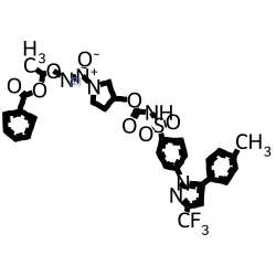 Cc1ccc(-c2cc(C(F)(F)F)nn2-c2ccc(S(=O)(=O)NC(=O)OC3CCN(/[N+]([O-])=N/OC(C)OC(=O)c4ccccc4)C3)cc2)cc1